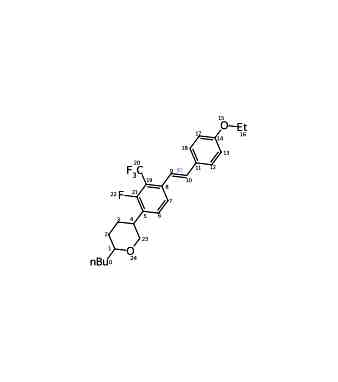 CCCCC1CCC(c2ccc(/C=C/c3ccc(OCC)cc3)c(C(F)(F)F)c2F)CO1